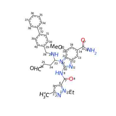 CCn1nc(C)cc1C(=O)Nc1nc2cc(C(N)=O)cc(OC)c2n1C(CCC=O)NCc1ccc(-c2ccccc2)cc1